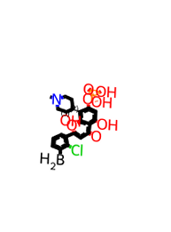 Bc1cccc(-c2cc(=O)c3c(O)cc(OP(=O)(O)O)c([C@H]4CCN(C)C[C@H]4O)c3o2)c1Cl